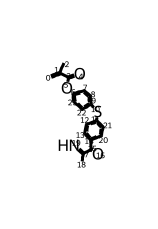 C=C(C)C(=O)Oc1ccc(Sc2ccc(C(=O)C(C)=N)cc2)cc1